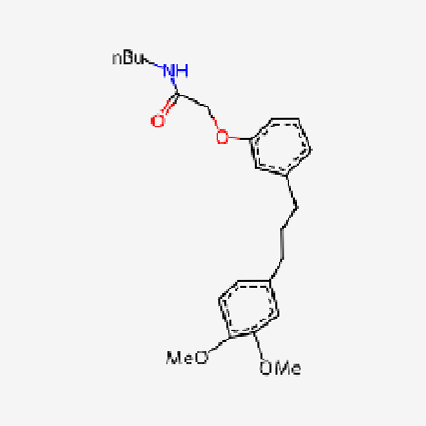 CCCCNC(=O)COc1cccc(CCCc2ccc(OC)c(OC)c2)c1